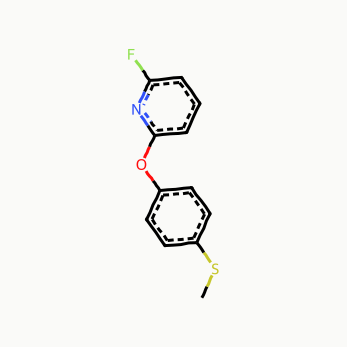 CSc1ccc(Oc2cccc(F)n2)cc1